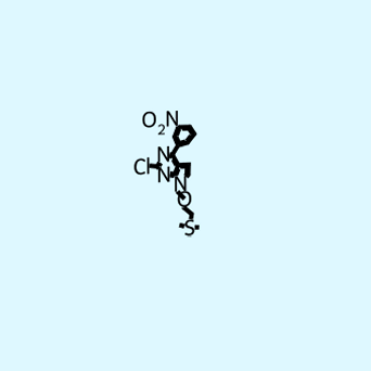 CS(C)(C)CCOCn1ccc2c(-c3cccc([N+](=O)[O-])c3)nc(Cl)nc21